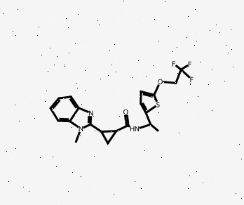 CC(NC(=O)C1CC1c1nc2ccccc2n1C)c1ccc(OCC(F)(F)F)s1